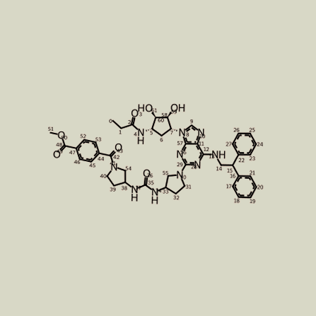 CCC(=O)N[C@H]1C[C@@H](n2cnc3c(NCC(c4ccccc4)c4ccccc4)nc(N4CCC(NC(=O)NC5CCN(C(=O)c6ccc(C(=O)OC)cc6)C5)C4)nc32)[C@H](O)[C@@H]1O